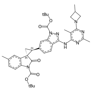 Cc1ccc2c(c1)[C@]1(C[C@H]1c1ccc3c(Nc4nc(C)nc(N5CC(C)C5)c4C)nn(C(=O)OC(C)(C)C)c3c1)C(=O)N2C(=O)OC(C)(C)C